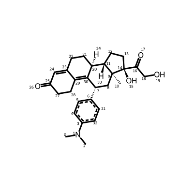 CN(C)c1ccc([C@H]2C[C@@]3(C)[C@@H](CC[C@]3(O)C(=O)CO)[C@@H]3CCC4=CC(=O)CCC4=C32)cc1